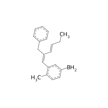 Bc1ccc(C)c(/C=C(\C=C\CC)Cc2ccccc2)c1